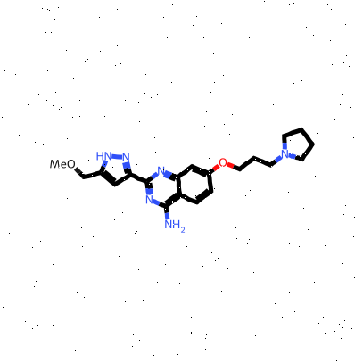 COCc1cc(-c2nc(N)c3ccc(OCCCN4CCCC4)cc3n2)n[nH]1